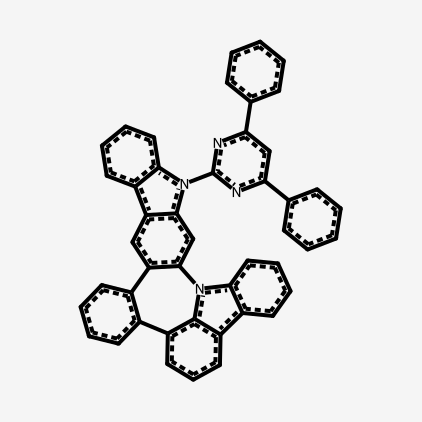 c1ccc(-c2cc(-c3ccccc3)nc(-n3c4ccccc4c4cc5c(cc43)-n3c4ccccc4c4cccc(c43)-c3ccccc3-5)n2)cc1